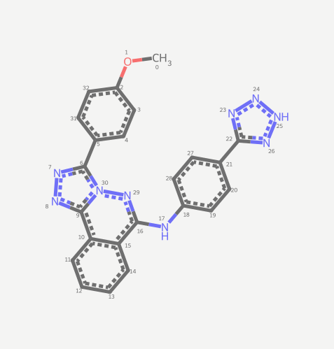 COc1ccc(-c2nnc3c4ccccc4c(Nc4ccc(-c5nn[nH]n5)cc4)nn23)cc1